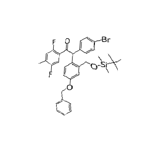 Cc1cc(F)c(C(=O)C(c2ccc(Br)cc2)c2ccc(OCc3ccccc3)cc2CO[Si](C)(C)C(C)(C)C)cc1F